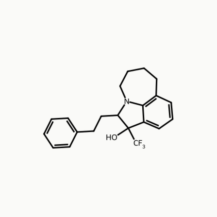 OC1(C(F)(F)F)c2cccc3c2N(CCCC3)C1CCc1ccccc1